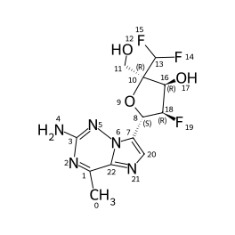 Cc1nc(N)nn2c([C@@H]3O[C@@](CO)(C(F)F)[C@@H](O)[C@H]3F)cnc12